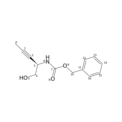 CC#C[C@H](CO)NC(=O)OCc1ccccc1